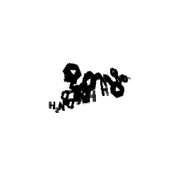 NC(=O)Oc1[nH]c2cc(CNCc3ccccc3[N+](=O)[O-])ccc2c1Sc1ccccc1